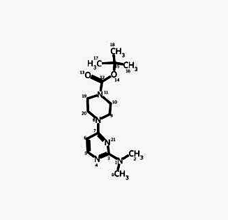 CN(C)c1nccc(N2CCN(C(=O)OC(C)(C)C)CC2)n1